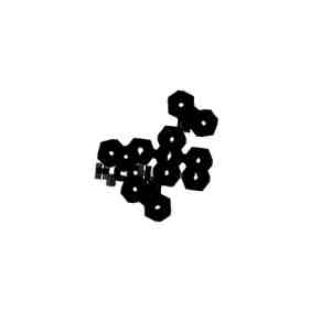 CC1(C)C2=C(CCC(c3c4cc(-n5c6ccccc6c6ccccc65)ccc4c(-c4cccc5ccccc45)c4cc(-n5c6ccccc6c6ccccc65)ccc34)=C2)c2ccccc21